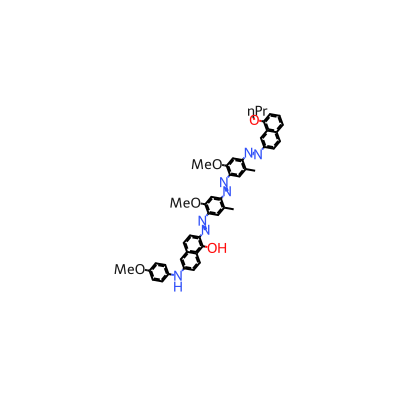 CCCOc1cccc2ccc(N=Nc3cc(OC)c(N=Nc4cc(OC)c(N=Nc5ccc6cc(Nc7ccc(OC)cc7)ccc6c5O)cc4C)cc3C)cc12